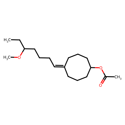 CCC(CCCC=C1CCCC(OC(C)=O)CCC1)OC